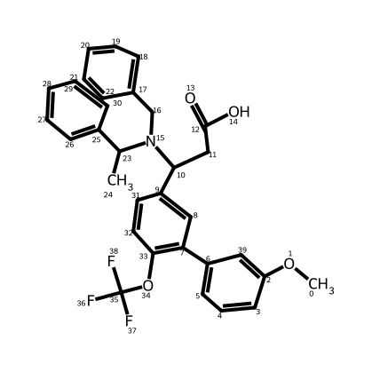 COc1cccc(-c2cc(C(CC(=O)O)N(Cc3ccccc3)C(C)c3ccccc3)ccc2OC(F)(F)F)c1